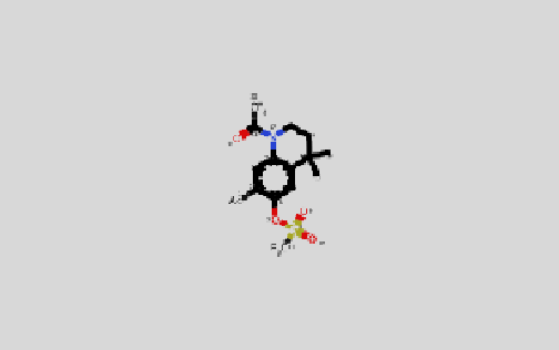 CC(=O)c1cc2c(cc1OS(=O)(=O)C(F)(F)F)C(C)(C)CCN2C(=O)C(F)(F)F